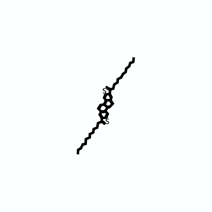 CCCCCCCCCCCCc1csc2cc3c(ccc4c5cc6scc(CCCCCCCCCCCC)c6cc5ccc34)cc12